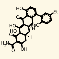 CCc1ccc(OC)c(-c2ccc(O)c3c2C[C@H]2C[C@H]4CC(O)=C(C(N)=O)C(=O)[C@@]4(O)C(O)=C2C3=O)c1